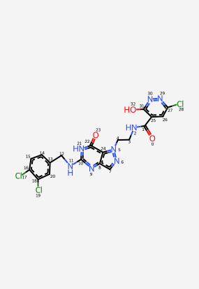 O=C(NCCn1ncc2nc(NCc3ccc(Cl)c(Cl)c3)[nH]c(=O)c21)c1cc(Cl)nnc1O